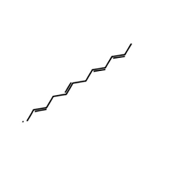 [CH2]C=CCC=CCC=CC=CC